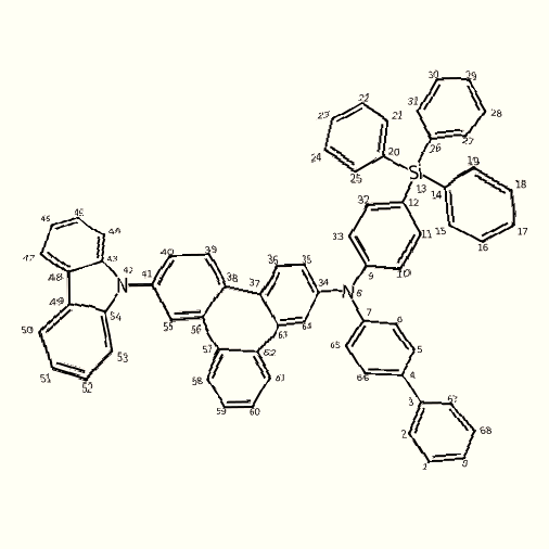 c1ccc(-c2ccc(N(c3ccc([Si](c4ccccc4)(c4ccccc4)c4ccccc4)cc3)c3ccc4c5ccc(-n6c7ccccc7c7ccccc76)cc5c5ccccc5c4c3)cc2)cc1